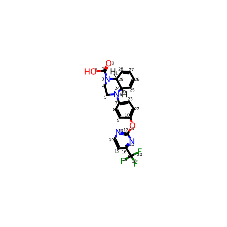 O=C(O)N1CCN(c2ccc(Oc3nccc(C(F)(F)F)n3)cc2)[C@H]2C=CC=C[C@@H]21